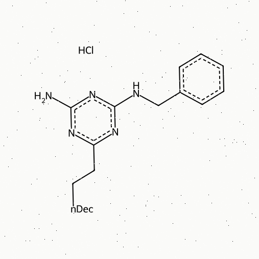 CCCCCCCCCCCCc1nc(N)nc(NCc2ccccc2)n1.Cl